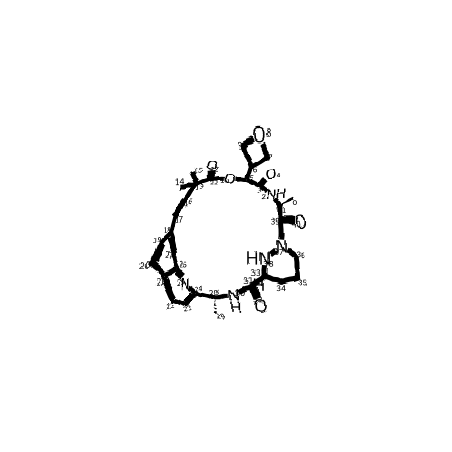 C[C@@H]1NC(=O)C(C2COC2)OC(=O)C(C)(C)/C=C/c2ccc3ccc(nc3c2)[C@@H](C)NC(=O)[C@@H]2CCCN(N2)C1=O